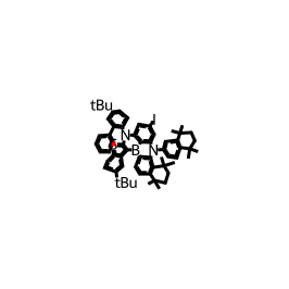 CC(C)(C)c1ccc(N2c3cc(I)cc4c3B(c3ccc5c(c3N4c3ccc4c(c3)C(C)(C)CCC4(C)C)C(C)(C)CCC5(C)C)c3c2sc2ccc(C(C)(C)C)cc32)c(-c2ccccc2)c1